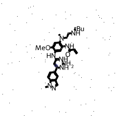 C=CC(=O)Nc1cc(NC(=N)/C=C(\NN)c2ccc3c(cnn3C)c2)c(OC)cc1N(C)CCNC(C)(C)C